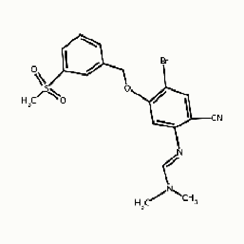 CN(C)C=Nc1cc(OCc2cccc(S(C)(=O)=O)c2)c(Br)cc1C#N